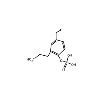 O=C(O)CCc1cc(CF)ccc1OP(=O)(O)O